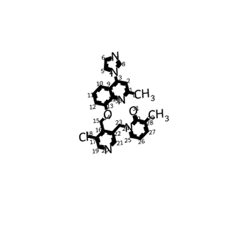 Cc1cc(-n2ccnc2)c2cccc(OCc3c(Cl)cncc3Cn3cccc(C)c3=O)c2n1